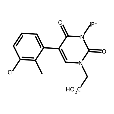 Cc1c(Cl)cccc1-c1cn(CC(=O)O)c(=O)n(C(C)C)c1=O